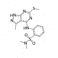 CSc1nc(Nc2ccccc2S(=O)(=O)N(C)C)c2c(C)n[nH]c2n1